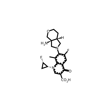 Cc1c(N2C[C@H]3CCOC[C@@]3(N)C2)c(F)cc2c(=O)c(C(=O)O)cn([C@@H]3C[C@@H]3F)c12